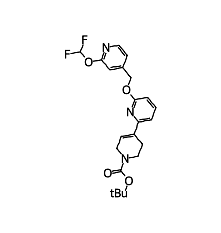 CC(C)(C)OC(=O)N1CC=C(c2cccc(OCc3ccnc(OC(F)F)c3)n2)CC1